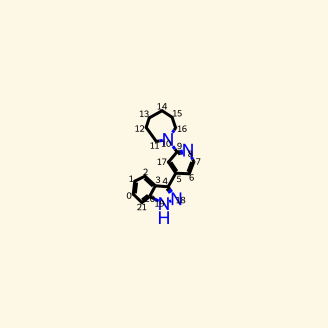 c1ccc2c(-c3ccnc(N4CCCCCC4)c3)n[nH]c2c1